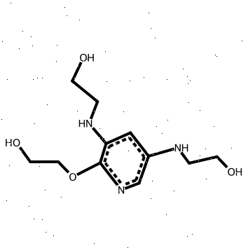 OCCNc1cnc(OCCO)c(NCCO)c1